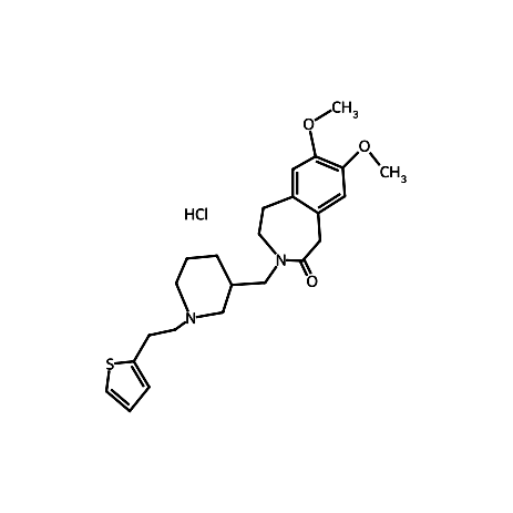 COc1cc2c(cc1OC)CC(=O)N(CC1CCCN(CCc3cccs3)C1)CC2.Cl